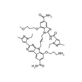 CCn1nc(C)cc1C(=O)Nc1nc2cc(C(N)=O)cc(OCCCOC)c2n1C/C=C/Cn1c2nc(-c3cc(C)nn3CC)ncc2c2cc(C(N)=O)cc(OCCCN)c21